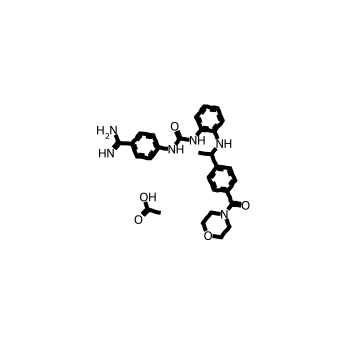 CC(=O)O.CC(Nc1ccccc1NC(=O)Nc1ccc(C(=N)N)cc1)c1ccc(C(=O)N2CCOCC2)cc1